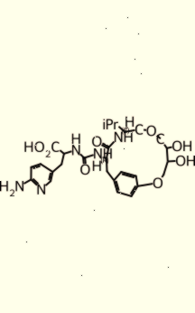 CC(C)[C@H]1COCC(O)C(O)COc2ccc(cc2)C[C@@H](NC(=O)NC(Cc2ccc(N)nc2)C(=O)O)C(=O)N1